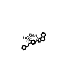 O=S(=O)(O)c1cc(-n2nc3ccc4ccccc4c3n2)ccc1C=Cc1ccccc1.[NaH]